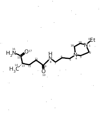 CCN1CCN(CCCNC(=O)[CH]C[C@H](C)C(N)=O)CC1